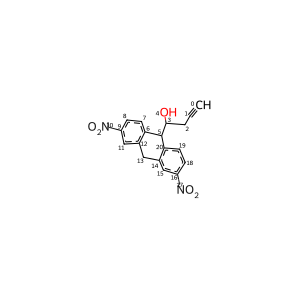 C#CCC(O)C1c2ccc([N+](=O)[O-])cc2Cc2cc([N+](=O)[O-])ccc21